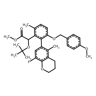 COC(=O)C(OC(C)(C)C)c1c(C)ccc(OCc2ccc(OC)cc2)c1-c1cc(F)c2c(c1C)CCCO2